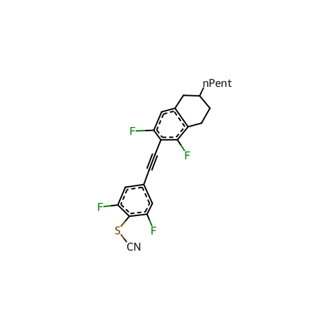 CCCCCC1CCc2c(cc(F)c(C#Cc3cc(F)c(SC#N)c(F)c3)c2F)C1